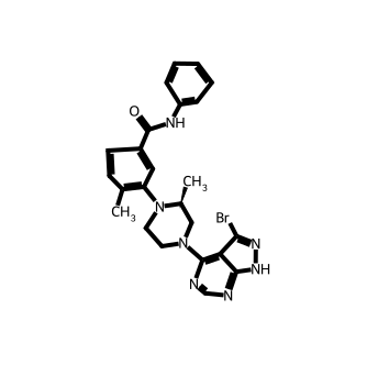 Cc1ccc(C(=O)Nc2ccccc2)cc1N1CCN(c2ncnc3[nH]nc(Br)c23)C[C@@H]1C